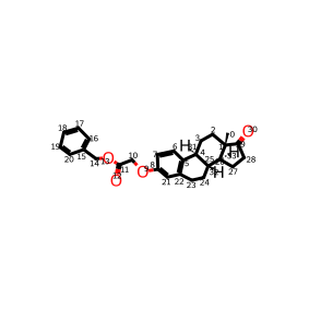 C[C@]12CC[C@@H]3c4ccc(OCC(=O)OCc5ccccc5)cc4CC[C@H]3[C@@H]1CCC2=O